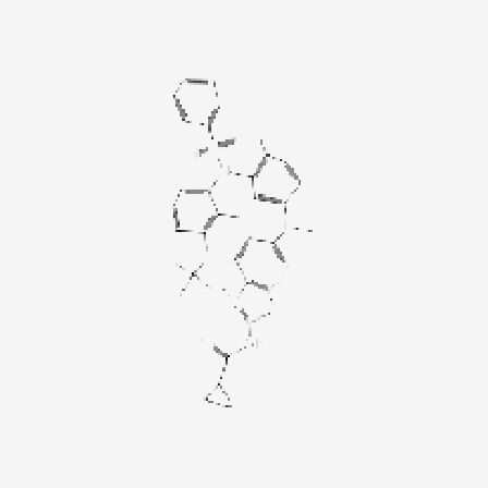 CN(c1ccc(F)c(N(c2cccc(OC(C)(C)C#N)c2Cl)S(=O)(=O)c2ccccc2)c1)c1ccc2nc(NC(=O)C3CC3)sc2n1